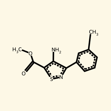 COC(=O)c1snc(-c2cccc(C)c2)c1N